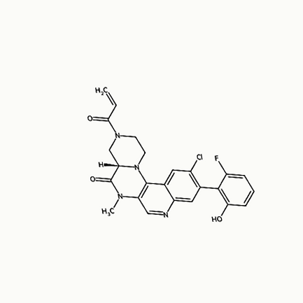 C=CC(=O)N1CCN2c3c(cnc4cc(-c5c(O)cccc5F)c(Cl)cc34)N(C)C(=O)[C@@H]2C1